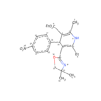 CCOC(=O)C1=C(C)NC(CC)=C(C2=NC(C)(C)CO2)C1c1ccc([N+](=O)[O-])cc1